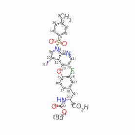 Cc1ccc(S(=O)(=O)n2cc(I)c3c(Oc4ccc(CC(NC(=O)OC(C)(C)C)C(=O)O)cc4F)ccnc32)cc1